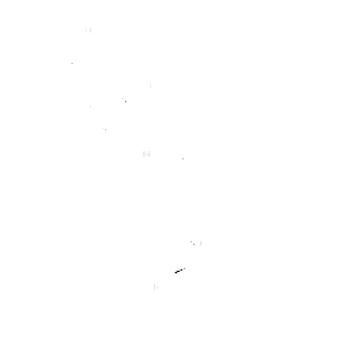 CCc1ccccc1[C@@H](C#N)NC(=O)c1ccnc(NCc2nnc(C3CC=NCN3)n2C)c1